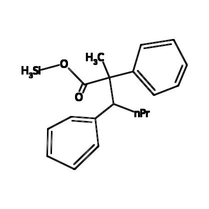 CCCC(c1ccccc1)C(C)(C(=O)O[SiH3])c1ccccc1